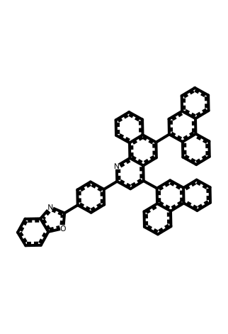 c1ccc2c(c1)cc(-c1cc3c(-c4cc5ccccc5c5ccccc45)cc(-c4ccc(-c5nc6ccccc6o5)cc4)nc3c3ccccc13)c1ccccc12